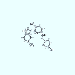 N#Cc1cnc(NCc2ccc(Cl)cc2)nc1-c1c[nH]c2ncc(C(F)(F)F)cc12